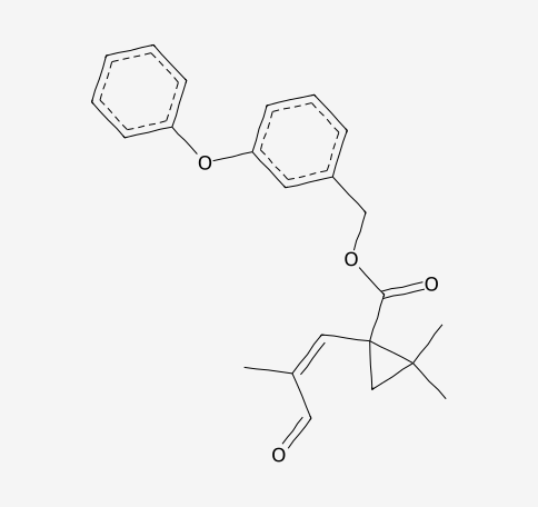 CC(C=O)=CC1(C(=O)OCc2cccc(Oc3ccccc3)c2)CC1(C)C